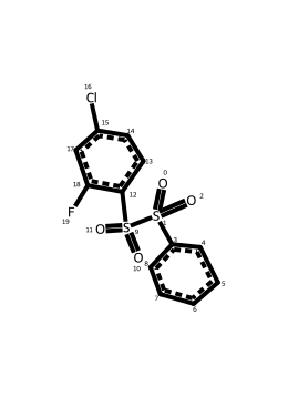 O=S(=O)(c1ccccc1)S(=O)(=O)c1ccc(Cl)cc1F